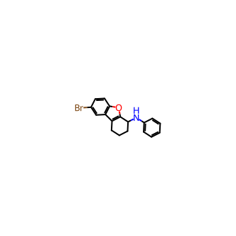 Brc1ccc2oc3c(c2c1)CCCC3Nc1ccccc1